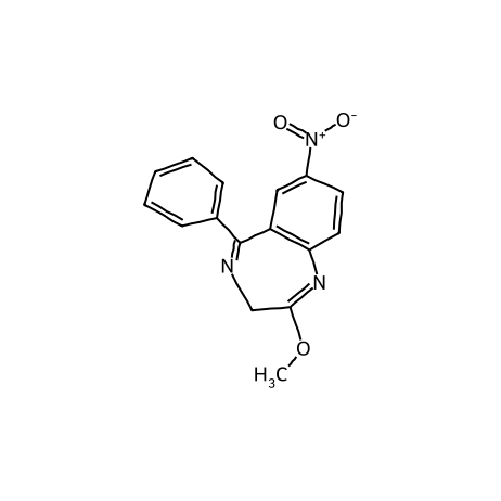 COC1=Nc2ccc([N+](=O)[O-])cc2C(c2ccccc2)=NC1